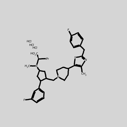 Cc1nc(Cc2ccc(F)cc2)sc1C1CCN(CC2CC(N(C)[C@@H](C(=O)O)C(C)C)CC2c2cccc(F)c2)CC1.Cl.Cl.Cl